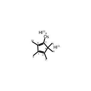 CC1=C(C)C(C)(C)[C]([Os])=C1C.I.I